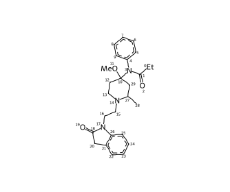 CCC(=O)N(c1ccccc1)C1(OC)CCN(CCN2C(=O)Cc3ccccc32)C(C)C1